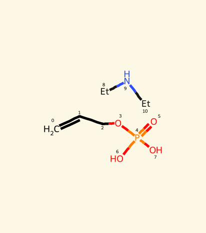 C=CCOP(=O)(O)O.CCNCC